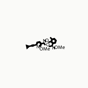 CO/N=C(/C(=O)OC)c1cccc(C)c1CO/N=C(\C)c1ccc(C#CC2CC2)nc1